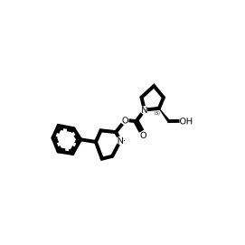 O=C(OC1CC(c2ccccc2)CC[N]1)N1CCC[C@H]1CO